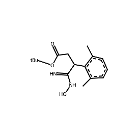 Cc1cccc(C)c1C(CC(=O)OC(C)(C)C)C(=N)NO